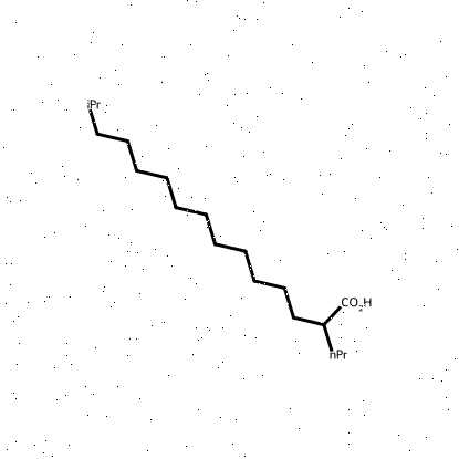 CCCC(CCCCCCCCCCCC(C)C)C(=O)O